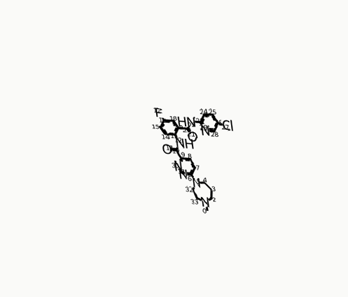 CN1CCCN(c2ccc(C(=O)Nc3ccc(F)cc3C(=O)Nc3ccc(Cl)cn3)nn2)CC1